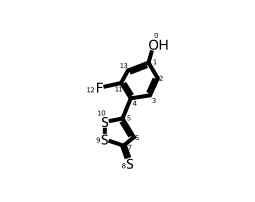 Oc1ccc(-c2cc(=S)ss2)c(F)c1